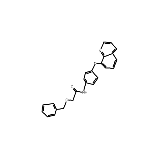 O=C(COCc1ccccc1)Nc1ccc(Oc2cccc3cccnc23)cc1